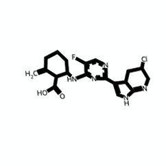 C=C1CCCC(Nc2nc(C3=CNC4=NCC(Cl)CC34)ncc2F)C1C(=O)O